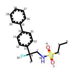 CCCS(=O)(=O)NCC(C)(F)c1ccc(-c2ccccc2)cc1